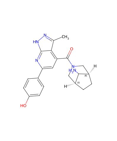 Cc1n[nH]c2nc(-c3ccc(O)cc3)cc(C(=O)N3C[C@H]4CC[C@@H](C3)C4N)c12